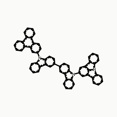 c1ccc2c(c1)c1ccccc1c1cc(-n3c4ccccc4c4cc(-c5ccc6c(c5)c5ccccc5n6-c5cc6c7ccccc7n7c8ccccc8c(c5)c67)ccc43)ccc21